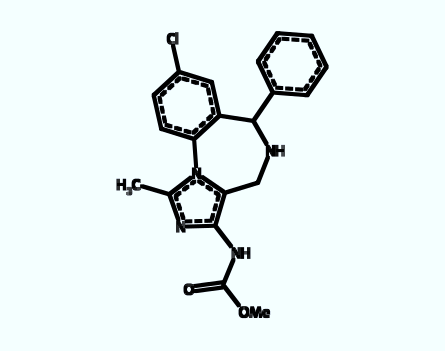 COC(=O)Nc1nc(C)n2c1CNC(c1ccccc1)c1cc(Cl)ccc1-2